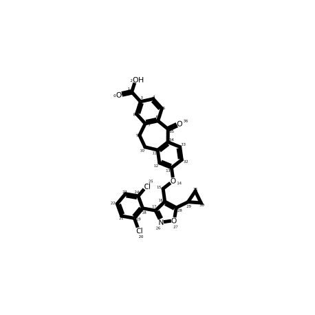 O=C(O)c1ccc2c(c1)CCc1cc(OCc3c(-c4c(Cl)cccc4Cl)noc3C3CC3)ccc1C2=O